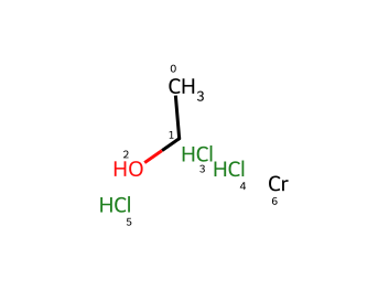 CCO.Cl.Cl.Cl.[Cr]